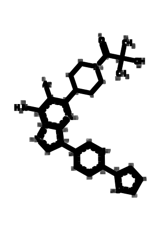 CC(=O)c1c(C2CCN(C(=O)C(C)(C)O)CC2)nc2c(-c3ccc(-c4cccs4)nc3)cnn2c1N